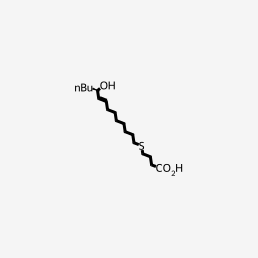 CCCC[C@@H](O)C=CCCCCCCCSCCCC(=O)O